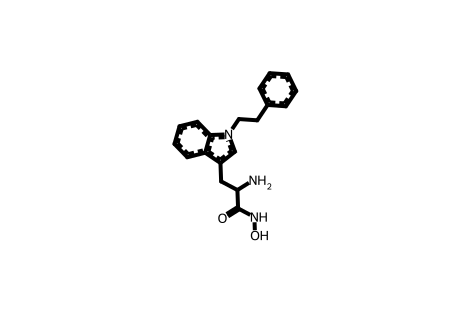 NC(Cc1cn(CCc2ccccc2)c2ccccc12)C(=O)NO